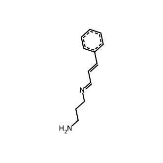 NCCC/N=C/C=C/c1ccccc1